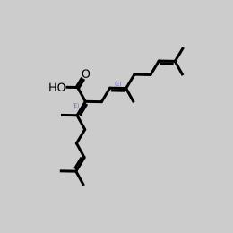 CC(C)=CCC/C(C)=C/C/C(C(=O)O)=C(/C)CCC=C(C)C